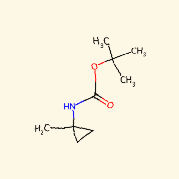 [CH2]C1(NC(=O)OC(C)(C)C)CC1